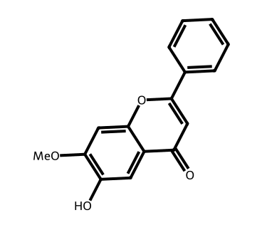 COc1cc2oc(-c3ccccc3)cc(=O)c2cc1O